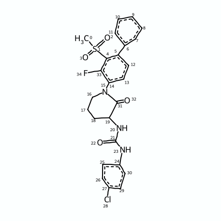 CS(=O)(=O)c1c(-c2ccccc2)ccc(N2CCCC(NC(=O)Nc3ccc(Cl)cc3)C2=O)c1F